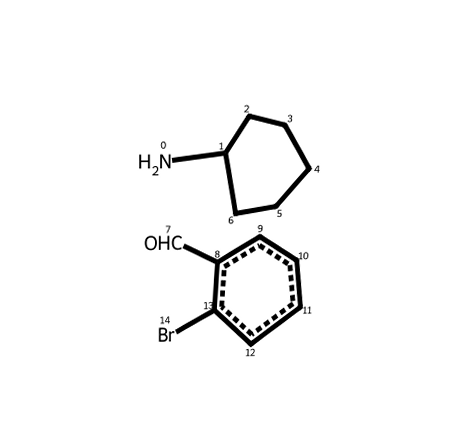 NC1CCCCC1.O=Cc1ccccc1Br